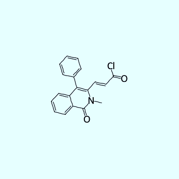 Cn1c(C=CC(=O)Cl)c(-c2ccccc2)c2ccccc2c1=O